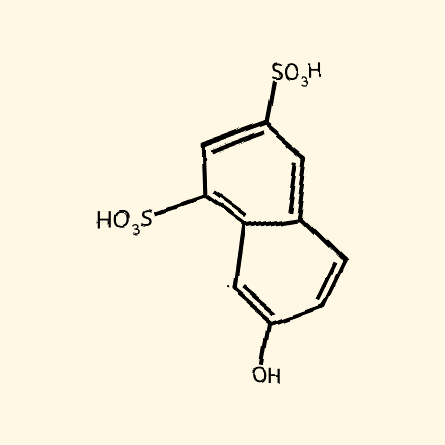 O=S(=O)(O)c1cc(S(=O)(=O)O)c2[c]c(O)ccc2c1